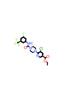 CCOC(=O)c1cnc(N2CCN(C(=O)Nc3cc(F)cc(C(F)(F)F)c3)CC2)c(Cl)c1